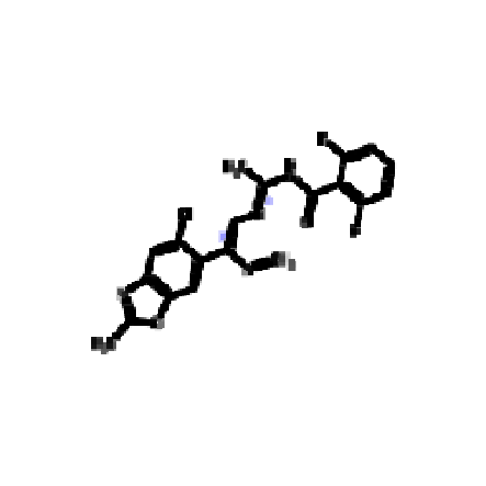 C=N/C(=C\N=C(/C)NC(=O)c1c(F)cccc1F)c1cc2oc(C)nc2cc1Cl